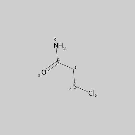 NC(=O)CSCl